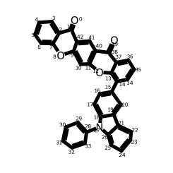 O=c1c2ccccc2oc2cc3oc4c(-c5ccc6c(c5)c5ccccc5n6-c5ccccc5)cccc4c(=O)c3cc12